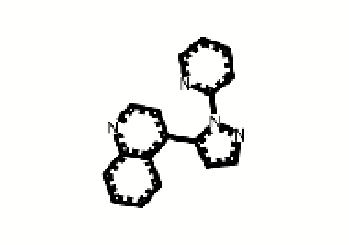 c1ccc(-n2nccc2-c2ccnc3ccccc23)nc1